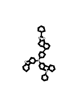 c1ccc(-c2nc3ccc4c(-c5ccc(N(c6ccc7oc8ccccc8c7c6)c6ccc7c(c6)c6ccccc6n7-c6ccccc6)cc5)cccc4c3o2)cc1